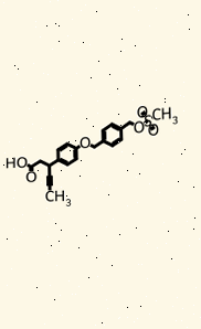 CC#CC(CC(=O)O)c1ccc(OCc2ccc(COS(C)(=O)=O)cc2)cc1